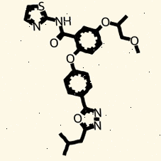 COCC(C)Oc1ccc(Oc2ccc(-c3nnc(CC(C)C)o3)cc2)c(C(=O)Nc2nccs2)c1